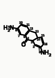 NC1=CC2C(=O)c3cc(N)ccc3CC2C=C1